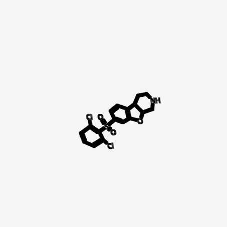 O=S(=O)(c1ccc2c(c1)OC1CNCCC21)c1c(Cl)cccc1Cl